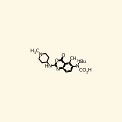 Cc1c(N(C(=O)O)C(C)(C)C)ccc2nc(NC3CCN(C)CC3)oc(=O)c12